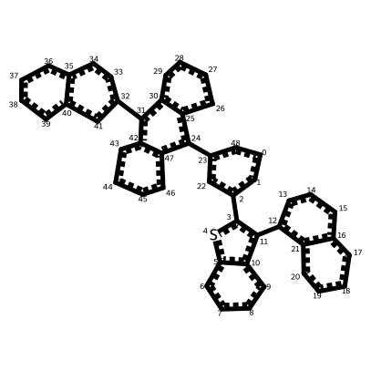 c1cc(-c2sc3ccccc3c2-c2cccc3ccccc23)cc(-c2c3ccccc3c(-c3ccc4ccccc4c3)c3ccccc23)c1